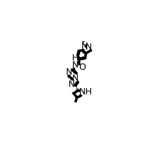 CC1CN[C@@H](c2cn3cc(NC(=O)c4ccc5c(cnn5C)c4)ncc3n2)C1